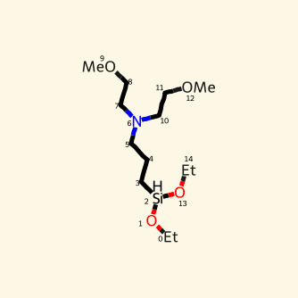 CCO[SiH](CCCN(CCOC)CCOC)OCC